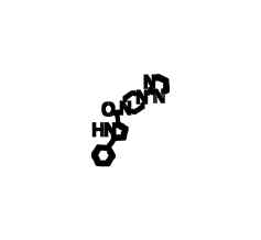 O=C(c1ccc(-c2ccccc2)[nH]1)N1CCN(c2ncccn2)CC1